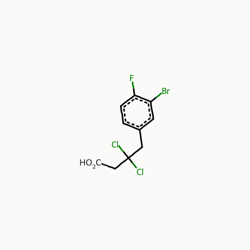 O=C(O)CC(Cl)(Cl)Cc1ccc(F)c(Br)c1